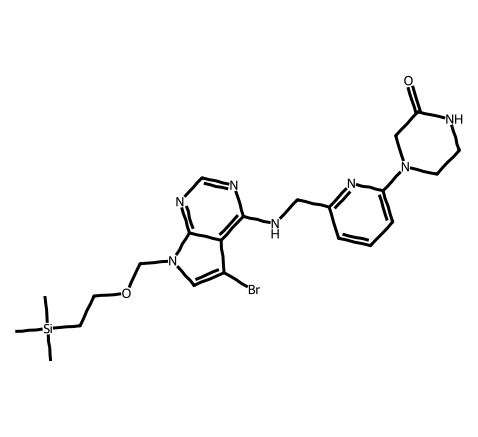 C[Si](C)(C)CCOCn1cc(Br)c2c(NCc3cccc(N4CCNC(=O)C4)n3)ncnc21